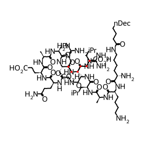 CCCCCCCCCCCCCC(=O)NCCCC[C@H](N)C(=O)N[C@@H](CCCCN)C(=O)N[C@@H](C)C(=O)N[C@@H](CC(C)C)C(=O)N[C@@H](CCCN=C(N)N)C(=O)N[C@@H](CCCN=C(N)N)C(=O)N[C@@H](CCC(N)=O)C(=O)N[C@@H](CCC(=O)O)C(=O)N[C@@H](C)C(=O)N[C@H](C(=O)N[C@@H](CC(=O)O)C(=O)N[C@@H](C)C(=O)N[C@@H](CC(C)C)C(=O)O)C(C)C